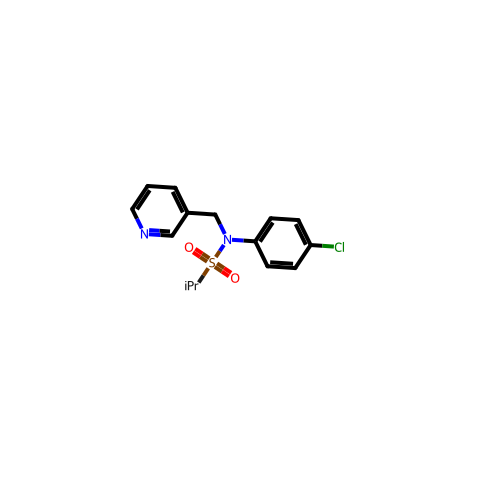 CC(C)S(=O)(=O)N(Cc1cccnc1)c1ccc(Cl)cc1